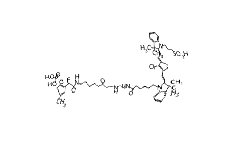 Cc1ccc(OP(=O)(O)O)c(C(F)C(=O)NCCCCCC(=O)CCNCCNC(=O)CCCCCN2c3ccccc3C(C)(C)C2/C=C/C2=C(Cl)C(=C/C=C3/N(CCCS(=O)(=O)O)c4ccccc4C3(C)C)/CC2)c1